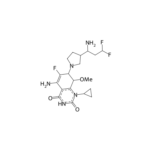 COC1c2c(c(=O)[nH]c(=O)n2C2CC2)C(N)=C(F)C1N1CCC(C(N)CC(F)F)C1